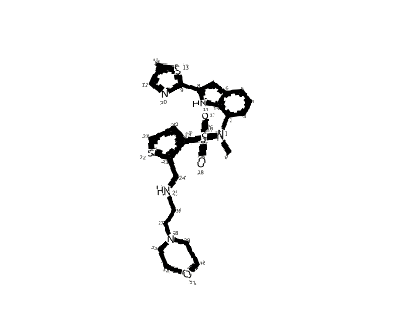 CN(c1cccc2cc(-c3nccs3)[nH]c12)S(=O)(=O)c1ccsc1CNCCN1CCOCC1